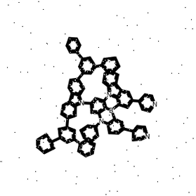 c1ccc(-c2cc(-c3ccccc3)cc(-c3ccc4c5ccc(-c6cc(-c7ccccc7)cc(-c7ccccc7)c6)cc5n(-c5cc6c7c(c5)-n5c8ccccc8c8cc(-c9ccncc9)cc(c85)B7c5cc(-c7ccncc7)ccc5N6c5ccccc5)c4c3)c2)cc1